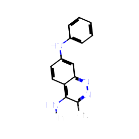 CC(C)Nc1c(C#N)nnc2cc(Nc3ccccc3)ccc12